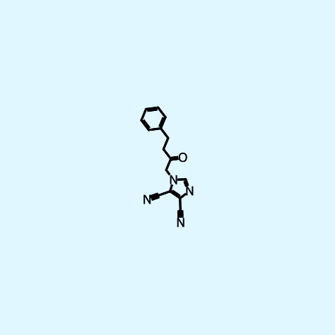 N#Cc1ncn(CC(=O)CCc2ccccc2)c1C#N